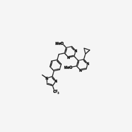 COc1cnc(-c2c(OC)ncnc2C2CC2)nc1Cc1ccc(-c2nc(C(F)(F)F)cn2C)cc1